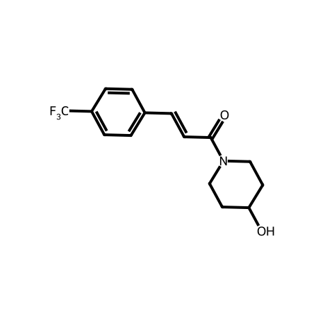 O=C(C=Cc1ccc(C(F)(F)F)cc1)N1CCC(O)CC1